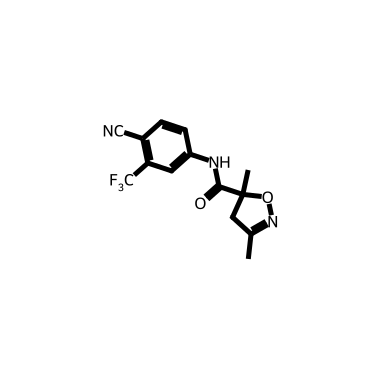 CC1=NOC(C)(C(=O)Nc2ccc(C#N)c(C(F)(F)F)c2)C1